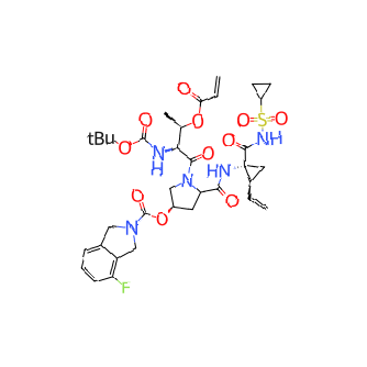 C=CC(=O)O[C@H](C)[C@H](NC(=O)OC(C)(C)C)C(=O)N1C[C@H](OC(=O)N2Cc3cccc(F)c3C2)CC1C(=O)N[C@]1(C(=O)NS(=O)(=O)C2CC2)C[C@H]1C=C